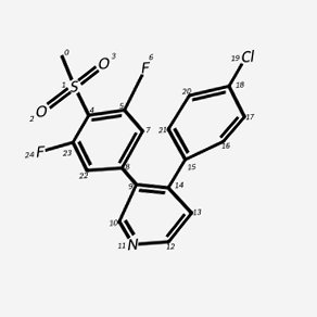 CS(=O)(=O)c1c(F)cc(-c2cnccc2-c2ccc(Cl)cc2)cc1F